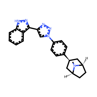 CN1[C@@H]2CC[C@H]1C[C@@H](c1ccc(-n3cc(-c4n[nH]c5ccccc45)nn3)cc1)C2